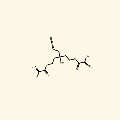 C=C(C)C(=O)OCCC(O)(CCOC(=O)C(=C)C)CN=C=O